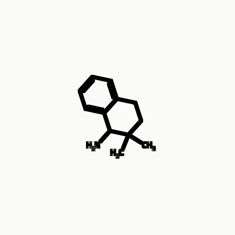 CC1(C)CCc2ccccc2C1N